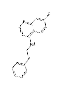 Fc1ccc2c(NCCc3ccccc3)ccnc2c1